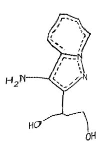 Nc1c(C(O)CO)nn2ccccc12